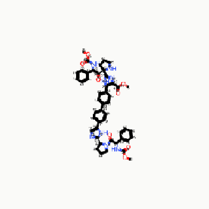 COC(=O)N[C@@H](C(=O)N1CCC[C@H]1c1ncc(-c2ccc(-c3ccc(-c4[nH]c([C@]5(C(=O)[C@H](NC(=O)OC)c6ccccc6)CCCN5)nc4C(=O)OC)cc3)cc2)[nH]1)c1ccccc1